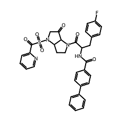 O=C(NC(Cc1ccc(F)cc1)C(=O)N1CCC2C1C(=O)CN2S(=O)(=O)C(=O)c1ccccn1)c1ccc(-c2ccccc2)cc1